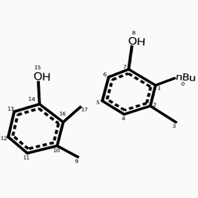 CCCCc1c(C)cccc1O.Cc1cccc(O)c1C